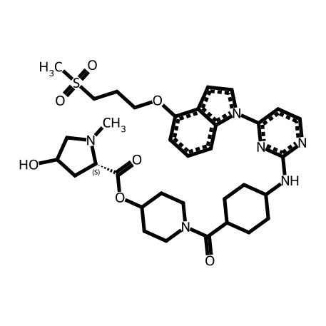 CN1CC(O)C[C@H]1C(=O)OC1CCN(C(=O)C2CCC(Nc3nccc(-n4ccc5c(OCCCS(C)(=O)=O)cccc54)n3)CC2)CC1